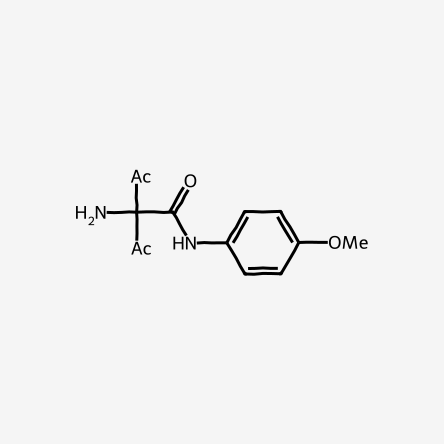 COc1ccc(NC(=O)C(N)(C(C)=O)C(C)=O)cc1